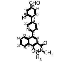 CN(C)C(=O)c1cc(-c2ccc(-c3ccc(C=O)cc3F)cn2)c2ccccc2c1O